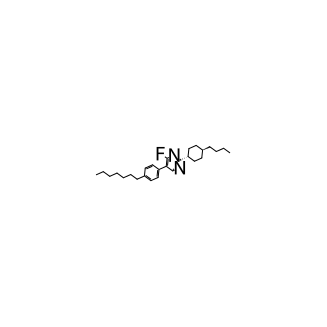 CCCCCCCc1ccc(-c2cnc([C@H]3CC[C@H](CCCC)CC3)nc2F)cc1